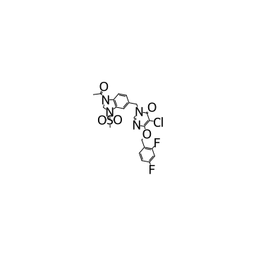 CC(=O)N1CN(S(C)(=O)=O)c2cc(Cn3cnc(OCc4ccc(F)cc4F)c(Cl)c3=O)ccc21